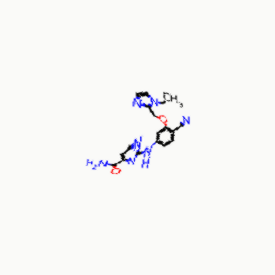 CCn1ccnc1COc1cc(Nc2nccc(C(N)=O)n2)ccc1C#N